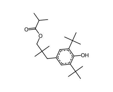 CC(C)C(=O)OCC(C)(C)Cc1cc(C(C)(C)C)c(O)c(C(C)(C)C)c1